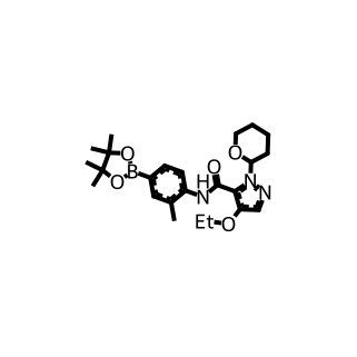 [CH2]COc1cnn(C2CCCCO2)c1C(=O)Nc1ccc(B2OC(C)(C)C(C)(C)O2)cc1C